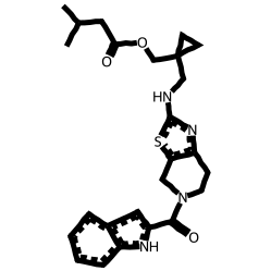 CC(C)CC(=O)OCC1(CNc2nc3c(s2)CN(C(=O)c2cc4ccccc4[nH]2)CC3)CC1